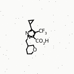 O=C(O)c1c(C(F)(F)F)c(C2CC2)nn1CC1CCCOC1